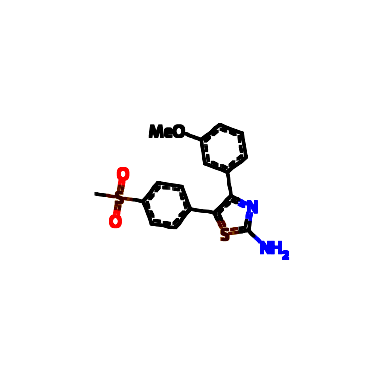 COc1cccc(-c2nc(N)sc2-c2ccc(S(C)(=O)=O)cc2)c1